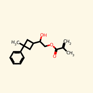 C=C(C)C(=O)OCC(O)C1CC(C)(c2ccccc2)C1